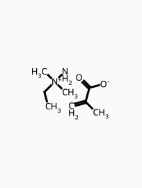 C=C(C)C(=O)[O-].CC[N+](C)(C)N